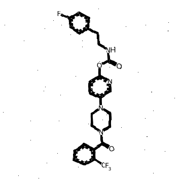 O=C(NCCc1ccc(F)cc1)Oc1ccc(N2CCN(C(=O)c3ccccc3C(F)(F)F)CC2)cn1